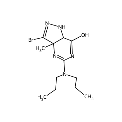 CCCN(CCC)C1=NC2(C)C(Br)=NNC2C(O)=N1